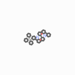 c1ccc([Si](c2ccccc2)(c2ccccc2)c2ccc3c(c2)c2ccccc2n3-c2ccccc2-c2ccccc2-n2c3ccccc3c3ccccc32)cc1